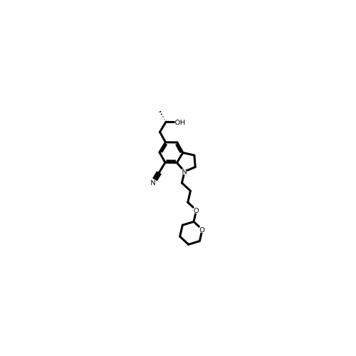 C[C@H](O)Cc1cc(C#N)c2c(c1)CCN2CCCOC1CCCCO1